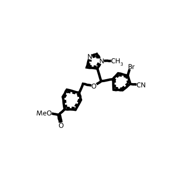 COC(=O)c1ccc(COC(c2ccc(C#N)c(Br)c2)c2cncn2C)cc1